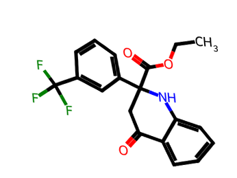 CCOC(=O)C1(c2cccc(C(F)(F)F)c2)CC(=O)c2ccccc2N1